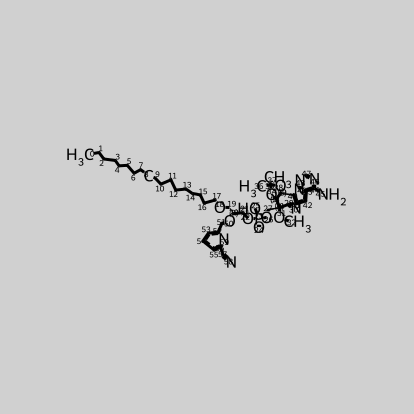 CCCCCCCCCCCCCCCCCCOC[C@H](COP(=O)(O)OC[C@@](C#N)(OC)[C@H]1OC(C)(C)O[C@H]1c1ccc2c(N)ncnn12)OCc1cccc(C#N)n1